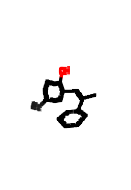 CCc1ccc(O)c(C=C(C)c2ccccc2)c1